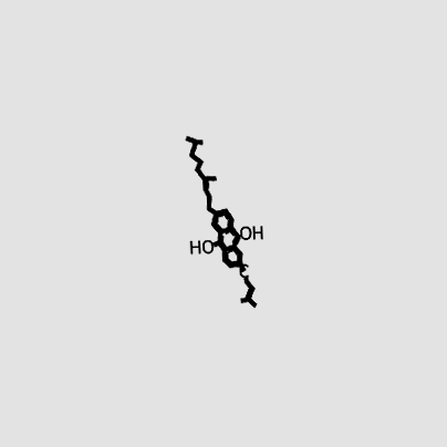 CC(C)=CCCc1ccc2c(O)c3cc(CC/C=C(\C)CCCC(C)C)ccc3c(O)c2c1